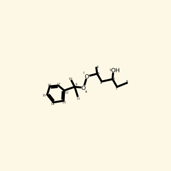 CCC(O)CC(C)OOC(C)(C)c1ccccc1